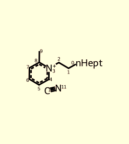 CCCCCCCCC[n+]1ccccc1C.[C-]#N